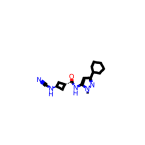 Cn1nc(C2CCCCC2)cc1NC(=O)[C@H]1C[C@H](NC#N)C1